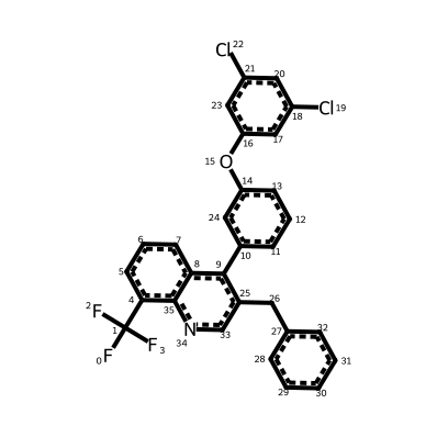 FC(F)(F)c1cccc2c(-c3cccc(Oc4cc(Cl)cc(Cl)c4)c3)c(Cc3ccccc3)cnc12